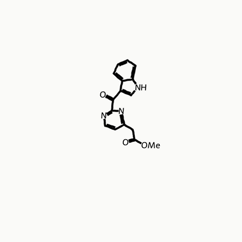 COC(=O)Cc1ccnc(C(=O)c2c[nH]c3ccccc23)n1